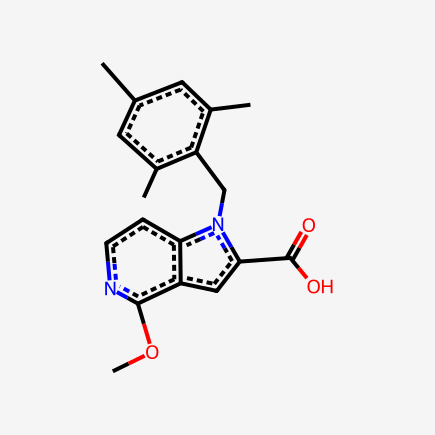 COc1nccc2c1cc(C(=O)O)n2Cc1c(C)cc(C)cc1C